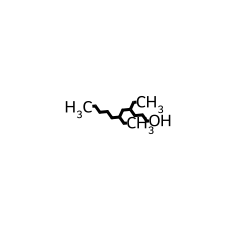 CCCCCC(CC)CC(CC)CCCO